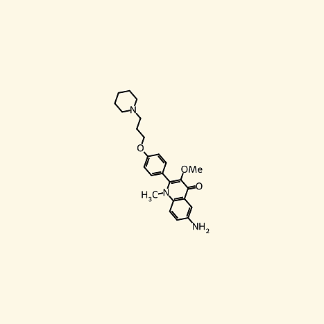 COc1c(-c2ccc(OCCCN3CCCCC3)cc2)n(C)c2ccc(N)cc2c1=O